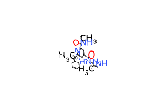 CNC(=O)c1cc(C(=O)Nc2n[nH]cc2C)cc([C@@H](C)c2ccccc2)n1